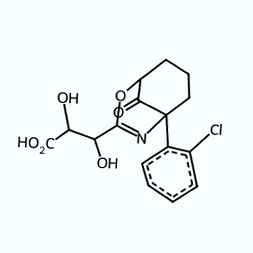 O=C(O)C(O)C(O)C1=NC2(c3ccccc3Cl)CCCC(O1)C2=O